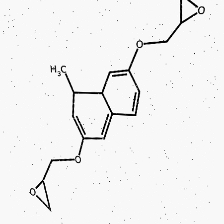 CC1C=C(OCC2CO2)C=C2C=CC(OCC3CO3)=CC21